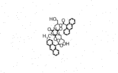 Cn1c(=O)n(CC(CO)OC(=O)c2c3ccccc3cc3ccccc23)c(=O)n(CC(CO)OC(=O)c2c3ccccc3cc3ccccc23)c1=O